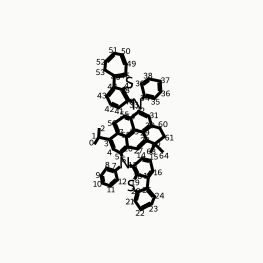 CC(C)c1cc(N(c2ccccc2)c2cccc3c2sc2ccccc23)c2cc3c4c(cc(N(c5ccccc5)c5cccc6c7c(sc56)C=CC=CC7)c5ccc1c2c54)CCC3(C)C